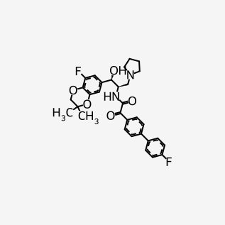 CC1(C)COc2c(F)cc([C@@H](O)[C@@H](CN3CCCC3)NC(=O)C(=O)c3ccc(-c4ccc(F)cc4)cc3)cc2O1